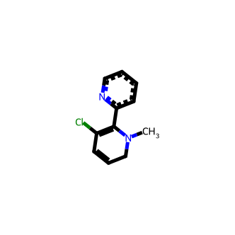 CN1CC=CC(Cl)=C1c1ccccn1